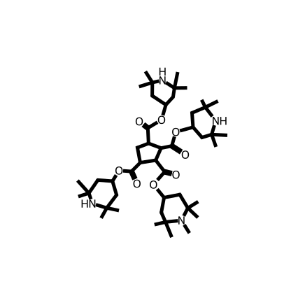 CN1C(C)(C)CC(OC(=O)C2C(C(=O)OC3CC(C)(C)NC(C)(C)C3)CC(C(=O)OC3CC(C)(C)NC(C)(C)C3)C2C(=O)OC2CC(C)(C)NC(C)(C)C2)CC1(C)C